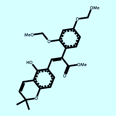 COCOc1ccc(C(=Cc2ccc3c(c2O)C=CC(C)(C)O3)C(=O)OC)c(OCOC)c1